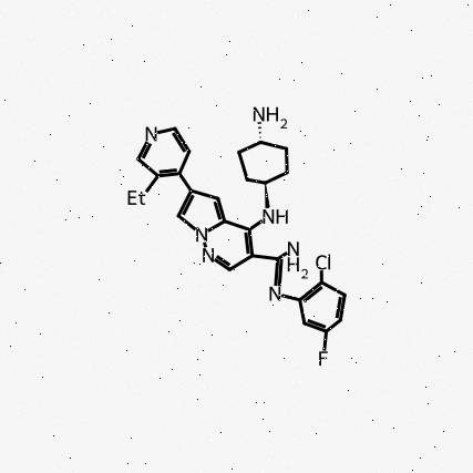 CCc1cnccc1-c1cc2c(N[C@H]3CC[C@H](N)CC3)c(/C(N)=N/c3cc(F)ccc3Cl)cnn2c1